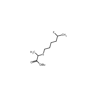 CC(C)COC(=O)C(C)SCCCCC(C)F